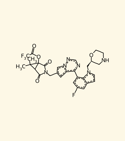 CC1(C)C2C(=O)N(Cc3cc4c(-c5cc(F)cc6ccn(C[C@@H]7CNCCO7)c56)ncnn4c3)C(=O)C21OC(=O)C(F)(F)F